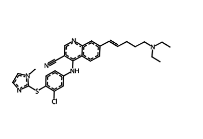 CCN(CC)CCCC=Cc1ccc2c(Nc3ccc(Sc4nccn4C)c(Cl)c3)c(C#N)cnc2c1